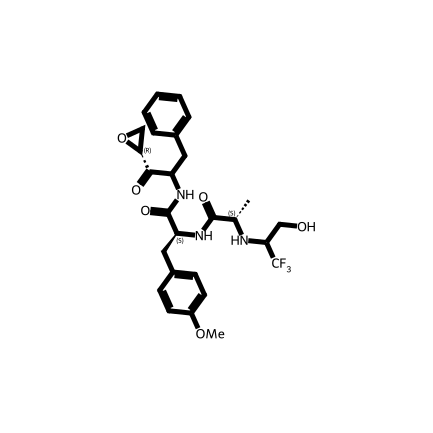 COc1ccc(C[C@H](NC(=O)[C@H](C)NC(CO)C(F)(F)F)C(=O)NC(Cc2ccccc2)C(=O)[C@H]2CO2)cc1